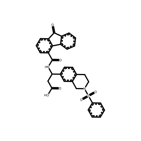 O=C(O)CC(NC(=O)c1cccc2c1-c1ccccc1C2=O)c1ccc2c(c1)CN(S(=O)(=O)c1ccccc1)CC2